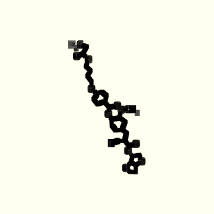 C=CC(=O)OCCCCOc1ccc(C(=O)Oc2ccc(/C=C(\C#N)C(=O)O[C@@H]3COC4CCOC43)cc2OC)cc1